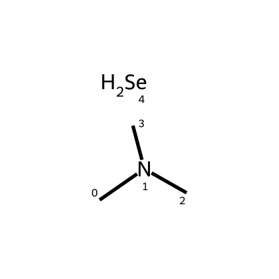 CN(C)C.[SeH2]